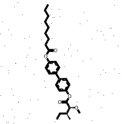 CCCCCCCCC(=O)Oc1ccc(-c2ccc(OC(=O)[C@@H](OC)[C@@H](C)CC)cc2)cc1